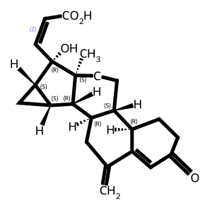 C=C1C[C@@H]2[C@H](CC[C@@]3(C)[C@H]2[C@@H]2C[C@@H]2[C@@]3(O)/C=C\C(=O)O)[C@H]2CCC(=O)C=C12